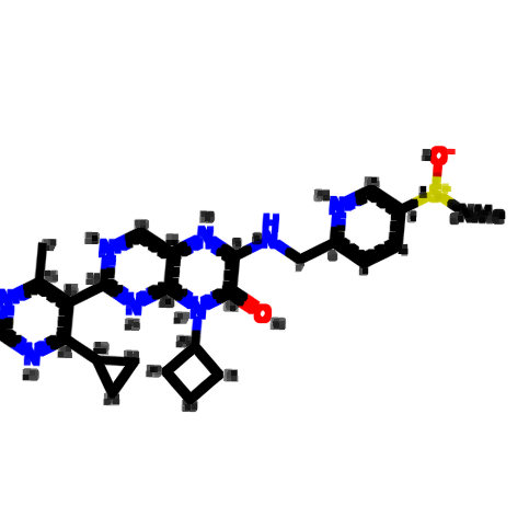 CN[S+]([O-])c1ccc(CNc2nc3cnc(-c4c(C)ncnc4C4CC4)nc3n(C3CCC3)c2=O)nc1